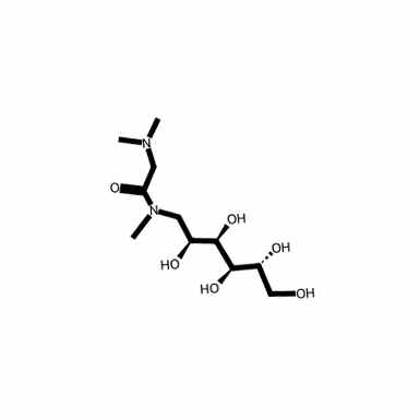 CN(C)CC(=O)N(C)C[C@H](O)[C@@H](O)[C@H](O)[C@H](O)CO